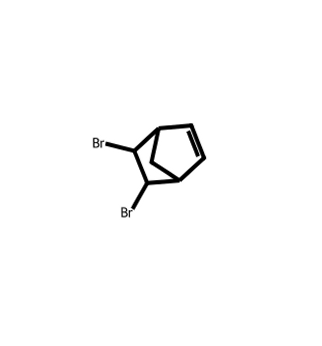 BrC1C2C=CC(C2)C1Br